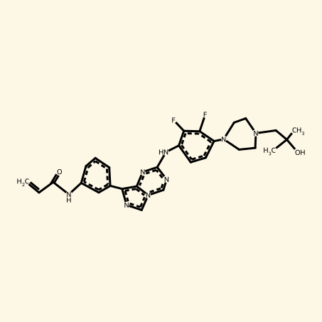 C=CC(=O)Nc1cccc(-c2ncn3cnc(Nc4ccc(N5CCN(CC(C)(C)O)CC5)c(F)c4F)nc23)c1